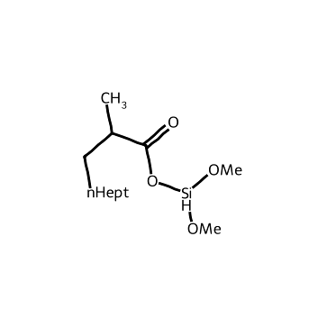 CCCCCCCCC(C)C(=O)O[SiH](OC)OC